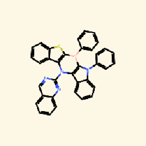 c1ccc(B2c3sc4ccccc4c3N(c3ncc4ccccc4n3)c3c2n(-c2ccccc2)c2ccccc32)cc1